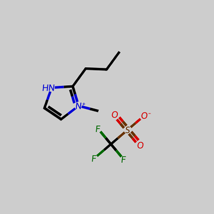 CCCc1[nH]cc[n+]1C.O=S(=O)([O-])C(F)(F)F